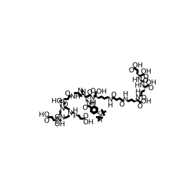 CC(C)(C)[SiH](c1ccc(C(=O)NC[C@@H](C(=O)N[C@H](CCCCNC(=O)CCC(=O)NCCC[C@@H](NC(=O)CC[C@H](NC(=O)N[C@@H](CCC(=O)O)C(=O)O)C(=O)O)C(=O)O)C(=O)O)n2cc(CNC(=O)CCP(=O)(O)CN3CCN(CPCCC(=O)O)CCN(CP(=O)(O)CCC(=O)O)CC3)nn2)cc1)C(C)(C)C